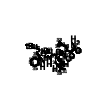 CC(C)(C)SCCC1(NC(=O)N[C@H](C(=O)N2C[C@H]3[C@@H]([C@H]2C(=O)NC(CC2CC2)C(=O)C(N)=O)C3(C)C)C(C)(C)C)CCCCC1